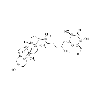 CC(CCC[C@@H](C)[C@H]1CC[C@H]2[C@@H]3CC=C4C[C@@H](O)CC[C@]4(C)[C@H]3CC[C@]12C)C[C@H]1O[C@H](CO)[C@@H](O)[C@H](O)[C@@H]1O